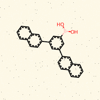 OB(O)c1cc(-c2ccc3ccccc3c2)cc(-c2ccc3ccccc3c2)c1